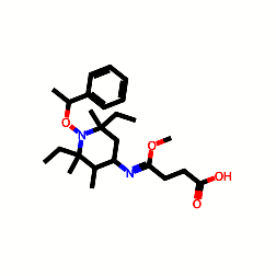 CCC1(C)CC(N=C(CCC(=O)O)OC)C(C)C(C)(CC)N1OC(C)c1ccccc1